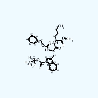 CCCC[C@H](NC(=O)[C@H](Cc1cn(C(=O)OC(C)(C)C)c2ccccc12)NC(=O)OCc1ccccc1)C(=O)OC